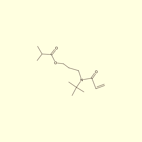 C=CC(=O)N(CCCOC(=O)C(C)C)C(C)(C)C